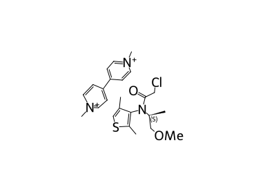 COC[C@H](C)N(C(=O)CCl)c1c(C)csc1C.C[n+]1ccc(-c2cc[n+](C)cc2)cc1